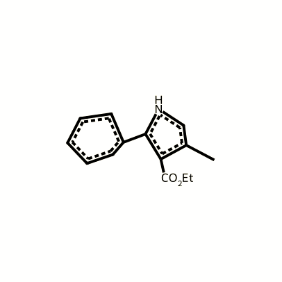 CCOC(=O)c1c(C)c[nH]c1-c1ccccc1